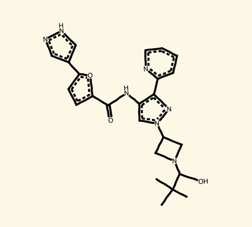 CC(C)(C)C(O)N1CC(n2cc(NC(=O)c3ccc(-c4cn[nH]c4)o3)c(-c3ccccn3)n2)C1